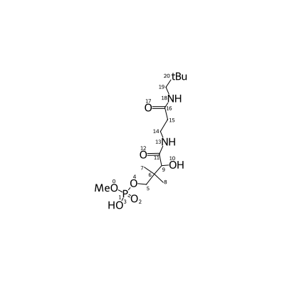 COP(=O)(O)OCC(C)(C)C(O)C(=O)NCCC(=O)NCC(C)(C)C